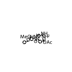 COc1cc(C(Nc2ccc(C(=N)N)cc2)C(=O)Nc2cccc(C(=O)OC(C)=O)c2)ccc1OCc1ccccc1